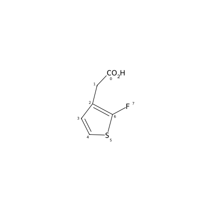 O=C(O)Cc1ccsc1F